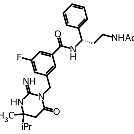 CC(=O)NCC[C@H](NC(=O)c1cc(F)cc(CN2C(=N)N[C@](C)(C(C)C)CC2=O)c1)c1ccccc1